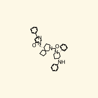 O=C(N1CC[C@@H](Cn2cnc(-c3ccccc3)cc2=O)C2(CCCC2)C1)N1CC[C@@H](Nc2ccccc2)C[C@H]1c1ccccc1